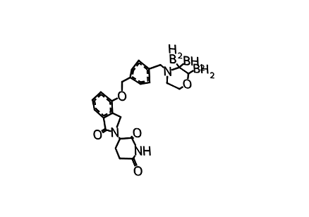 BC1OCCN(Cc2ccc(COc3cccc4c3CN(C3CCC(=O)NC3=O)C4=O)cc2)C1(B)B